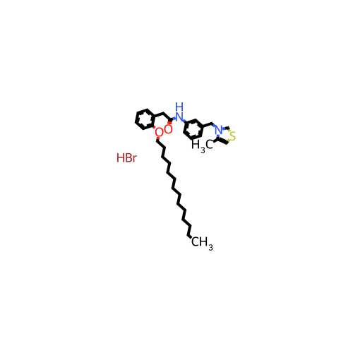 Br.CCCCCCCCCCCCCCOc1ccccc1CC(=O)Nc1cccc(CN2CSC=C2C)c1